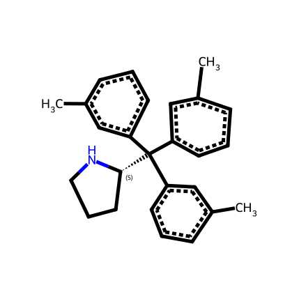 Cc1cccc(C(c2cccc(C)c2)(c2cccc(C)c2)[C@@H]2CCCN2)c1